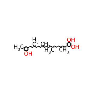 CC(/C=C/C=C(C)/C=C/c1cc(C)cc(O)c1)=C\C=C\C=C(C)\C=C\C=C(C)\C=C\c1cc(O)cc(O)c1